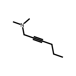 CCCC#CCN(C)C